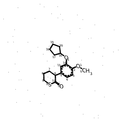 COc1ccc(C2CCCSC2=O)cc1OC1CCCC1